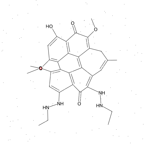 CCNNc1c2c3c4c(c(OC)c(=O)c5c(O)cc(OC)c(c6c(OC)cc(NNCC)c(c1=O)c63)c54)CC(C)=C2